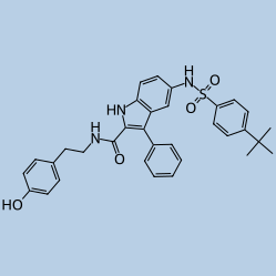 CC(C)(C)c1ccc(S(=O)(=O)Nc2ccc3[nH]c(C(=O)NCCc4ccc(O)cc4)c(-c4ccccc4)c3c2)cc1